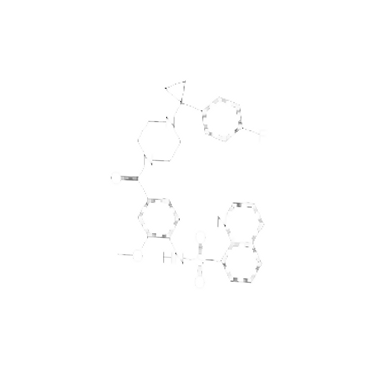 COc1cc(C(=O)N2CCN(C3(c4ccc(F)cc4)CC3)CC2)ccc1NS(=O)(=O)c1cccc2cccnc12